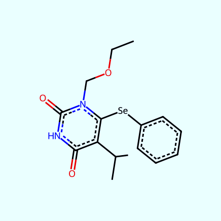 CCOCn1c([Se]c2ccccc2)c(C(C)C)c(=O)[nH]c1=O